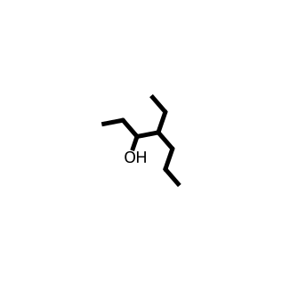 CCCC(CC)C(O)CC